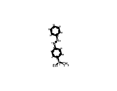 CCN(C)c1ccc(/N=N/c2ccccc2)cc1